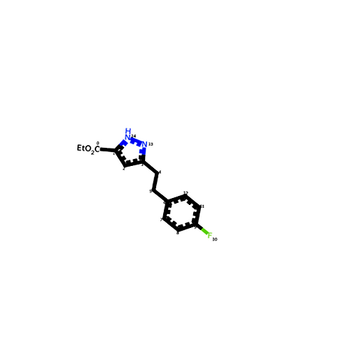 CCOC(=O)c1cc(CCc2ccc(F)cc2)n[nH]1